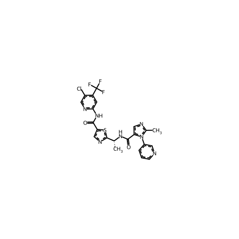 Cc1ncc(C(=O)N[C@H](C)c2ncc(C(=O)Nc3cc(C(F)(F)F)c(Cl)cn3)s2)n1-c1cccnc1